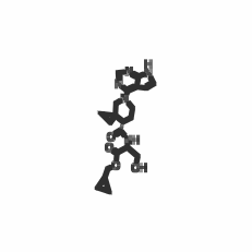 O=C(OCC1CC1)C(CO)NC(=O)[C@H]1CCN(c2ncnc3[nH]ccc23)CC12CC2